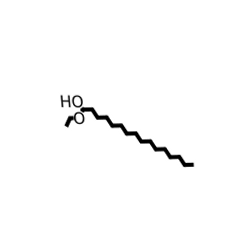 CCCCCCCCCCCCCCCC(O)OCC